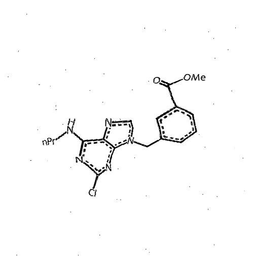 CCCNc1nc(Cl)nc2c1ncn2Cc1cccc(C(=O)OC)c1